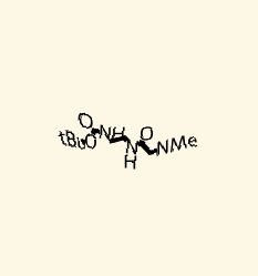 CNCC(=O)NCCNC(=O)OC(C)(C)C